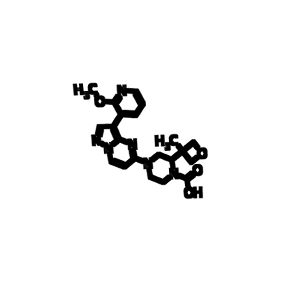 COc1ncccc1-c1cnn2ccc(N3CCN(C(=O)O)C(C4(C)COC4)C3)nc12